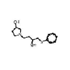 [NH]C(CCN1CCC(O)C1)CSc1ccccc1